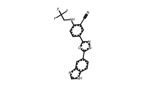 N#Cc1cc(-c2nnc(-c3ccc4[nH]cnc4c3)o2)ccc1NCC(F)(F)F